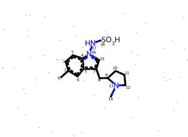 Cc1ccc2c(c1)c(CC1CCCN1C)cn2NS(=O)(=O)O